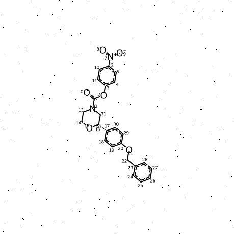 O=C(Oc1ccc([N+](=O)[O-])cc1)N1CCO[C@@H](c2ccc(OCc3ccccc3)cc2)C1